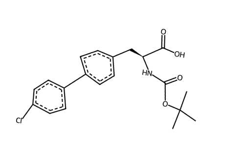 CC(C)(C)OC(=O)N[C@@H](Cc1ccc(-c2ccc(Cl)cc2)cc1)C(=O)O